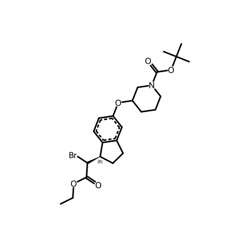 CCOC(=O)C(Br)[C@@H]1CCc2cc(OC3CCCN(C(=O)OC(C)(C)C)C3)ccc21